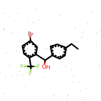 CCc1ccc(C(O)c2cc(Br)ccc2C(F)(F)F)cc1